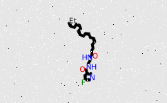 CC/C=C\C/C=C\C/C=C\C/C=C\C/C=C\CCCC(=O)NCCNC(=O)c1cncc(F)c1